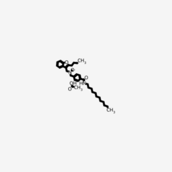 CC(=O)O.CCCCCCCCCCCCNC(=O)c1ccc(CN([O])Cc2c(CCCC)oc3ccccc23)cc1